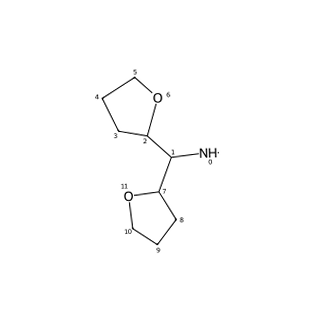 [NH]C(C1CCCO1)C1CCCO1